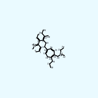 C\C=C/C(=N\C)C(=C/C)/C(CCC1=CCC(CCC)=C(CN(C)CC)C=C1)=C(/C)CC